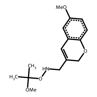 COc1ccc2c(c1)C=C(CNOC(C)(C)OC)CO2